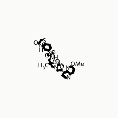 COc1ccc2nccc([C@@H]3CN(CC(C)(C)CNS(=O)(=O)c4ccc5c(c4)NC(=O)CS5)C(=O)O3)c2n1